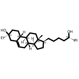 CC[C@]1(O)CC[C@H]2C(=CC[C@@H]3[C@@H]2CC[C@]2(C)[C@@H](CCCC[C@H](O)C(C)C)CC[C@@H]32)C1